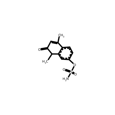 CC1=CC(=O)C(C)c2cc(OS(N)(=O)=O)ccc21